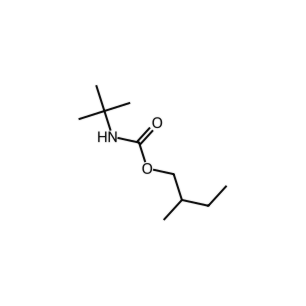 CCC(C)COC(=O)NC(C)(C)C